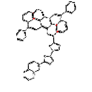 C(=C(c1ccccc1)c1ccccc1)c1c2ccccc2c(C=C(c2ccccc2)c2ccccc2)c2cc(-c3ccc(-c4ccc(-c5ccc6ccccc6c5)s4)s3)ccc12